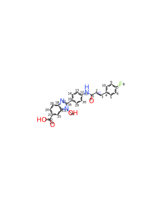 O=C(/C=C/c1ccc(F)cc1)Nc1ccc(-c2nc3ccc(C(=O)O)cc3n2O)cc1